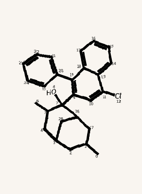 CC1CC2CC(C)C(O)(c3cc(Cl)c4ccccc4c3-c3ccccc3)C(C1)C2